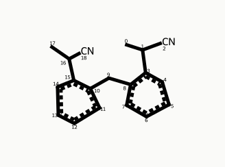 CC(C#N)c1ccccc1Cc1ccccc1C(C)C#N